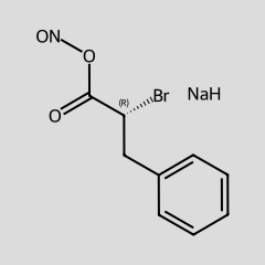 O=NOC(=O)[C@H](Br)Cc1ccccc1.[NaH]